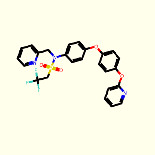 O=S(=O)(CC(F)(F)F)N(Cc1ccccn1)c1ccc(Oc2ccc(Oc3ccccn3)cc2)cc1